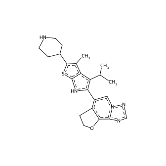 Cc1c(C2CCNCC2)sc2[nH]c(-c3cn4ncnc4c4c3CCO4)c(C(C)C)c12